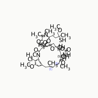 COCC(C)(S)CCC(=O)N(C)[C@H](C)C(=O)O[C@H]1CC(=O)N(C)c2cc(cc(OC)c2Cl)C/C(C)=C/C=C/[C@@H](OC)[C@@]2(O)C[C@H](OC(=O)N2)C2(C)C[C@@]1(C)O2